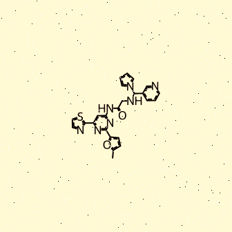 Cc1ccc(-c2nc(NC(=O)CNC(c3cccnc3)n3cccc3)cc(-c3nccs3)n2)o1